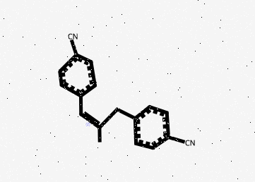 C/C(=C/c1ccc(C#N)cc1)Cc1ccc(C#N)cc1